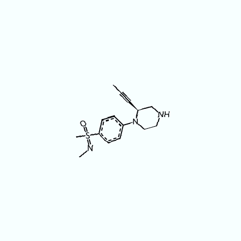 CC#C[C@H]1CNCCN1c1ccc(S(C)(=O)=NC)cc1